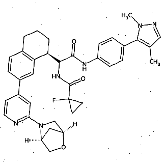 Cc1cnn(C)c1-c1ccc(NC(=O)C(NC(=O)C2(F)CC2)[C@@H]2CCCc3ccc(-c4ccnc(N5C[C@@H]6C[C@H]5CO6)c4)cc32)cc1